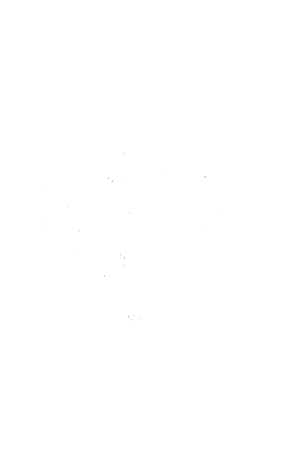 COc1cccc2c3c([nH]c12)C(c1ccc(F)c(F)c1)N(C(C)=O)CC31CC1